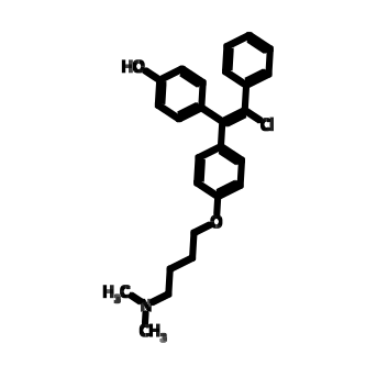 CN(C)CCCCOc1ccc(/C(=C(\Cl)c2ccccc2)c2ccc(O)cc2)cc1